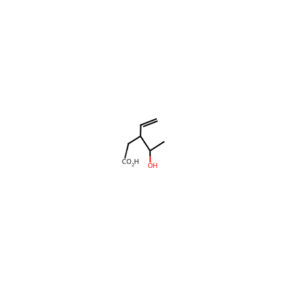 C=CC(CC(=O)O)C(C)O